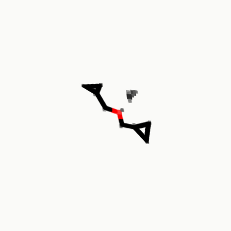 C1CC1COCC1CC1.[H+].[H+]